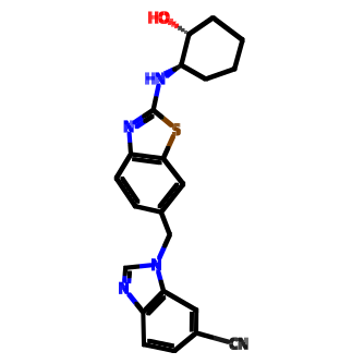 N#Cc1ccc2ncn(Cc3ccc4nc(N[C@@H]5CCCC[C@H]5O)sc4c3)c2c1